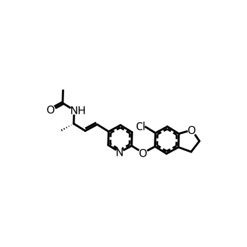 CC(=O)N[C@@H](C)/C=C/c1ccc(Oc2cc3c(cc2Cl)OCC3)nc1